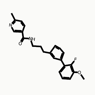 COc1cccc(-c2cccc(CCCNC(=O)c3ccc(C)nc3)c2)c1F